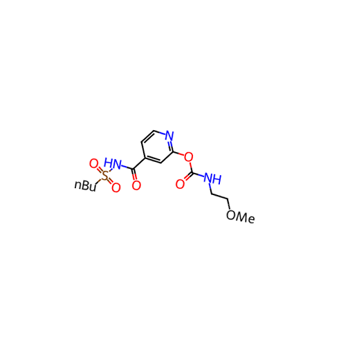 CCCCS(=O)(=O)NC(=O)c1ccnc(OC(=O)NCCOC)c1